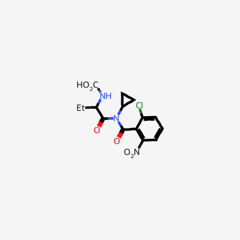 CCC(NC(=O)O)C(=O)N(C(=O)c1c(Cl)cccc1[N+](=O)[O-])C1CC1